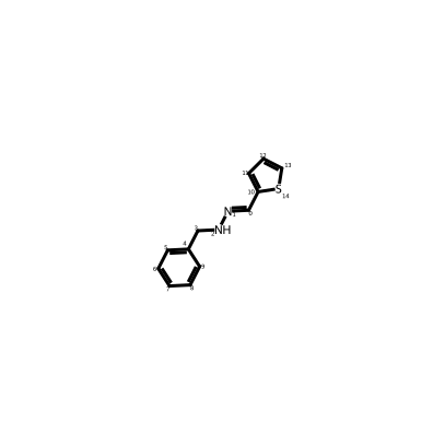 C(=N\NCc1ccccc1)/c1cccs1